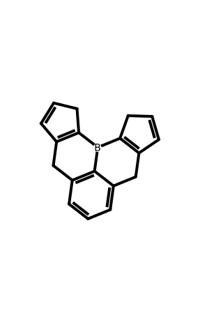 C1=CC2=C(C1)B1C3=C(C=CC3)Cc3cccc(c31)C2